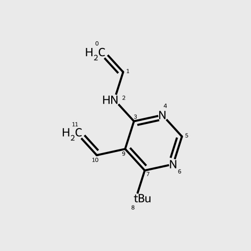 C=CNc1ncnc(C(C)(C)C)c1C=C